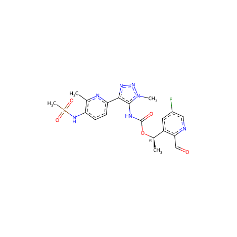 Cc1nc(-c2nnn(C)c2NC(=O)O[C@H](C)c2cc(F)cnc2C=O)ccc1NS(C)(=O)=O